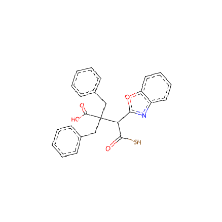 O=C(S)C(c1nc2ccccc2o1)C(Cc1ccccc1)(Cc1ccccc1)C(=O)O